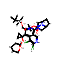 CC(C)(C)OC(=O)N1C2CCC1CN(c1nc(CO[Si](C)(C)C(C)(C)C)c(C3(OC4CCCCO4)CC3)c3c(F)c(Cl)ncc13)C2